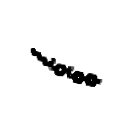 CCCCCCC(=O)O[C@H]1CC[C@H](C(=O)Oc2ccc(-c3ccc(F)cc3)cc2)CC1